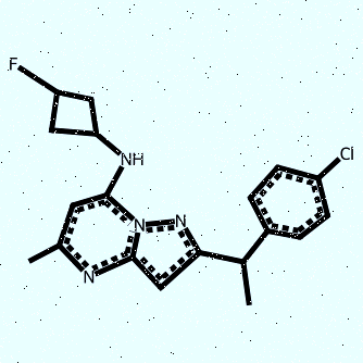 Cc1cc(NC2CC(F)C2)n2nc(C(C)c3ccc(Cl)cc3)cc2n1